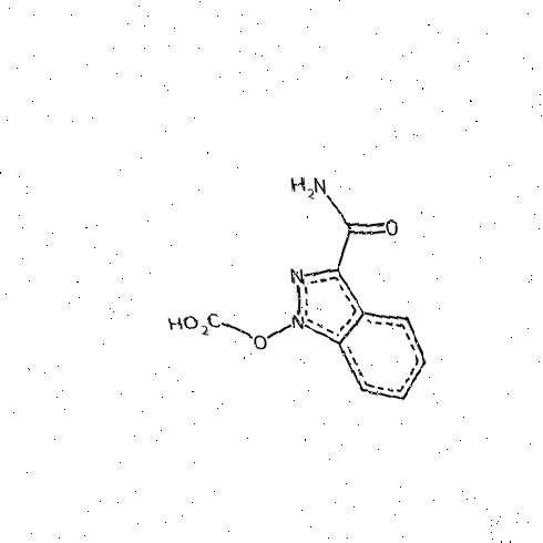 NC(=O)c1nn(OC(=O)O)c2ccccc12